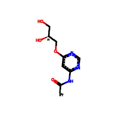 CC(C)C(=O)Nc1cc(OC[C@H](O)CO)ncn1